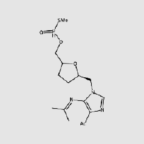 CS[PH](=O)OCC1CC[C@H](Cn2cnc(C(C)=O)c2N=C(C)C)O1